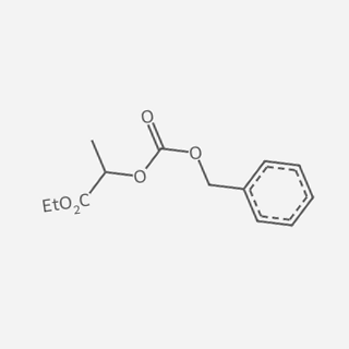 CCOC(=O)C(C)OC(=O)OCc1ccccc1